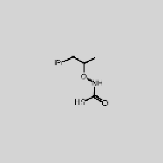 CC(C)CC(C)ONC(=O)S